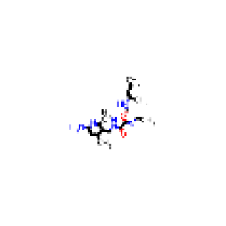 C=C/C=C(\C)NCO/C(=N\CC)C(=O)NCc1c(C)cc(N)nc1C